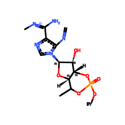 C=Nc1c(/C(N)=N\C)ncn1[C@@H]1O[C@@H]2C(C)OP(=O)(OC(C)C)O[C@H]2[C@H]1O